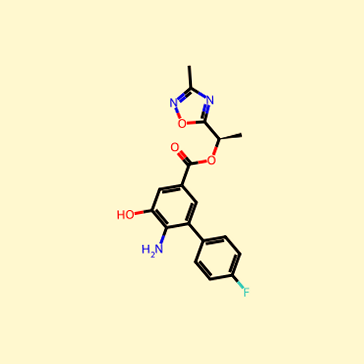 Cc1noc([C@@H](C)OC(=O)c2cc(O)c(N)c(-c3ccc(F)cc3)c2)n1